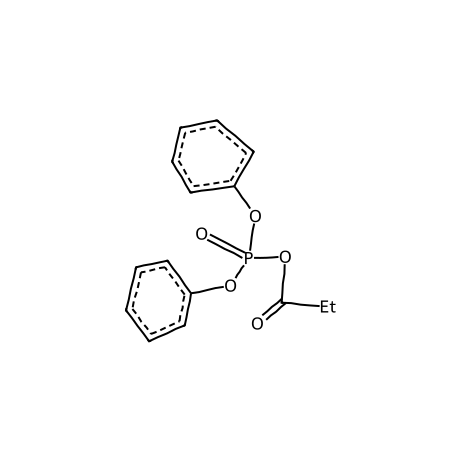 CCC(=O)OP(=O)(Oc1ccccc1)Oc1ccccc1